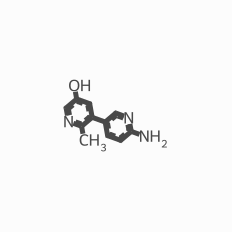 Cc1ncc(O)cc1-c1ccc(N)nc1